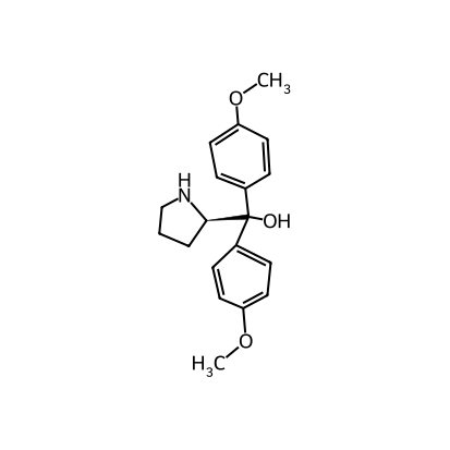 COc1ccc(C(O)(c2ccc(OC)cc2)[C@H]2CCCN2)cc1